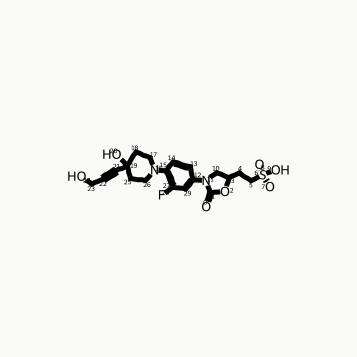 O=C1OC(CCS(=O)(=O)O)CN1c1ccc(N2CCC(O)(C#CCO)CC2)c(F)c1